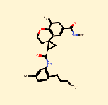 CCNC(=O)C1=CC2=C(OCC[C@]23C[C@H]3C(=O)Nc2cc(C#N)ccc2CCCC(=O)O)C(C)C1